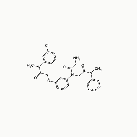 CN(C(=O)COc1cccc(N(CC(=O)N(C)c2ccccc2)C(=O)CN)c1)c1cccc(Cl)c1